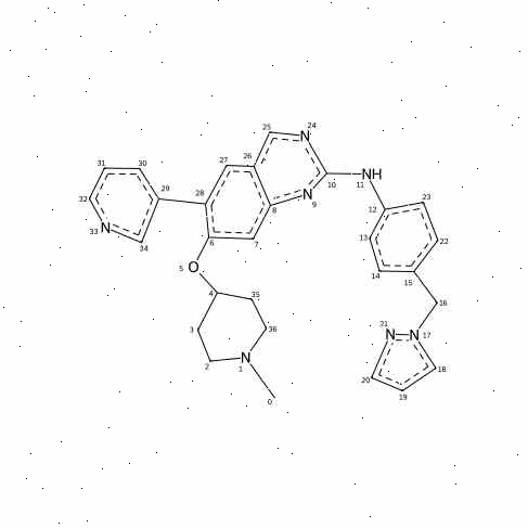 CN1CCC(Oc2cc3nc(Nc4ccc(Cn5cccn5)cc4)ncc3cc2-c2cccnc2)CC1